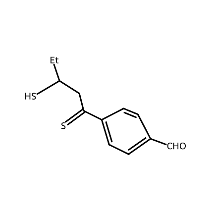 CCC(S)CC(=S)c1ccc(C=O)cc1